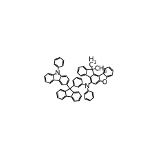 CC1(C)c2ccccc2-c2c(N(c3ccccc3)c3cccc(C4(c5ccc6c(c5)c5ccccc5n6-c5ccccc5)c5ccccc5-c5ccccc54)c3)cc3oc4ccccc4c3c21